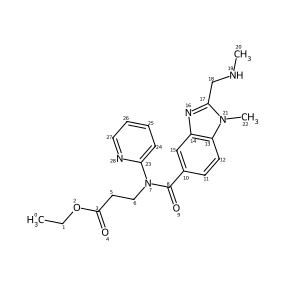 CCOC(=O)CCN(C(=O)c1ccc2c(c1)nc(CNC)n2C)c1ccccn1